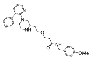 COc1ccc(CNC(=O)CCOCCC2CN(c3ncccc3-c3ccncc3)CCN2)cc1